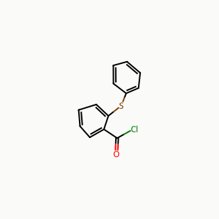 O=C(Cl)c1ccccc1Sc1ccccc1